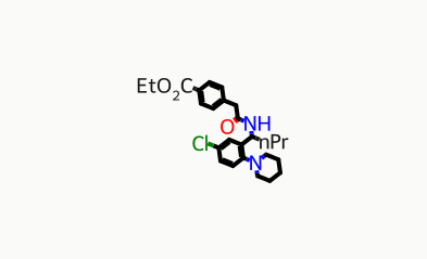 CCCC(NC(=O)Cc1ccc(C(=O)OCC)cc1)c1cc(Cl)ccc1N1CCCCC1